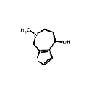 CN1CCC(O)c2ccoc2C1